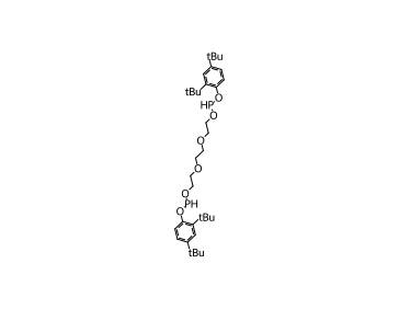 CC(C)(C)c1ccc(OPOCCOCCOCCOPOc2ccc(C(C)(C)C)cc2C(C)(C)C)c(C(C)(C)C)c1